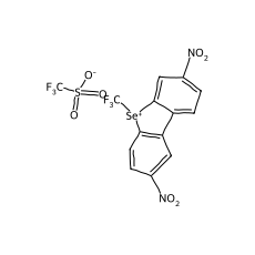 O=S(=O)([O-])C(F)(F)F.O=[N+]([O-])c1ccc2c(c1)c1ccc([N+](=O)[O-])cc1[se+]2C(F)(F)F